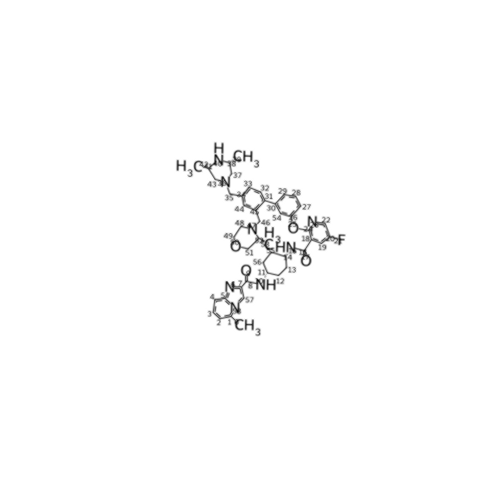 Cc1cccc2nc(C(=O)N[C@H]3CC[C@@H](NC(=O)c4cc(F)cnc4Oc4cccc(-c5ccc(CN6C[C@@H](C)N[C@@H](C)C6)cc5CN5CCOC[C@@H]5C)c4)CC3)cn12